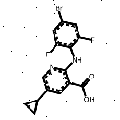 O=C(O)c1cc(C2CC2)cnc1Nc1c(F)cc(Br)cc1F